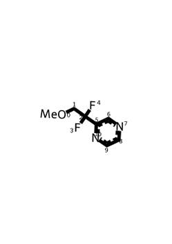 COCC(F)(F)c1cnccn1